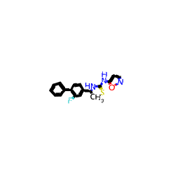 CC(NC(=S)Nc1ccno1)c1ccc(-c2ccccc2)c(F)c1